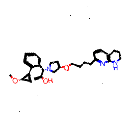 C=C(O)[C@H](c1ccccc1[C@H]1C[C@@H]1OC)N1CC[C@@H](OCCCCc2ccc3c(n2)NCCC3)C1